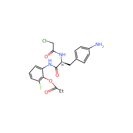 CCC(=O)Oc1c(F)cccc1NC(=O)[C@H](Cc1ccc(N)cc1)NC(=O)CCl